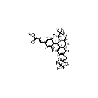 COC(=O)/C=C/C1=CC(F)C(C2C3=CC=C(OS(=O)(=O)C(F)(F)F)CC3CC(C)N2CC(C)(C)F)C(F)=C1